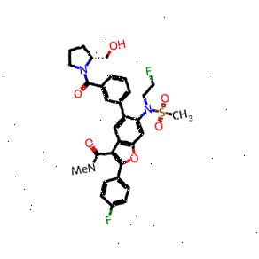 CNC(=O)c1c(-c2ccc(F)cc2)oc2cc(N(CCF)S(C)(=O)=O)c(-c3cccc(C(=O)N4CCC[C@@H]4CO)c3)cc12